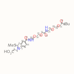 CSC(C)N(CCC(=O)O)Cc1ccc(C(=O)NCCOCCOCC(=O)NCCOCCOCC(=O)C(C)(C)C)cc1